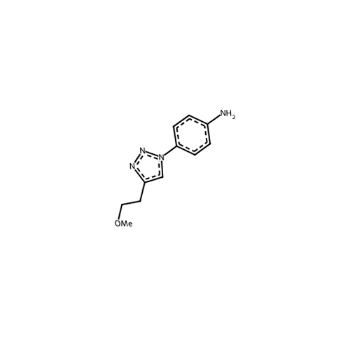 COCCc1cn(-c2ccc(N)cc2)nn1